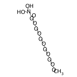 COCCOCCOCCOCCOCCOCCOCCOCCOCCOCCOC(=O)CCN(CCO)CCO